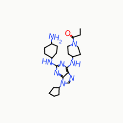 CCC(=O)N1CCC(Nc2nc(NC3CCC(N)CC3)nc3c2ncn3C2CCCC2)CC1